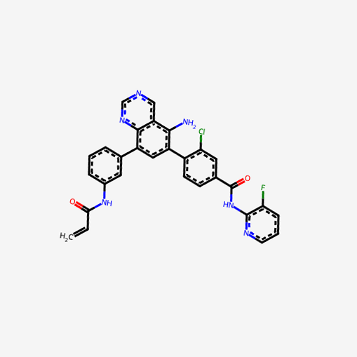 C=CC(=O)Nc1cccc(-c2cc(-c3ccc(C(=O)Nc4ncccc4F)cc3Cl)c(N)c3cncnc23)c1